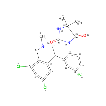 CN1Cc2c(Cl)cc(Cl)cc2C(c2ccccc2N2C(=O)NC(C)(C)C2=O)C1.Cl